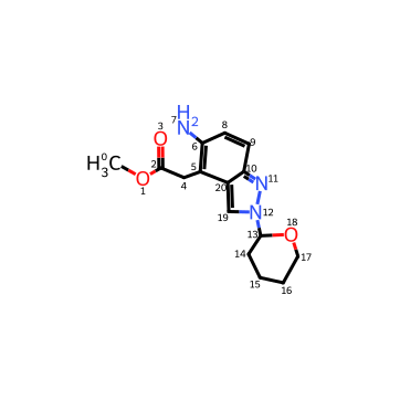 COC(=O)Cc1c(N)ccc2nn(C3CCCCO3)cc12